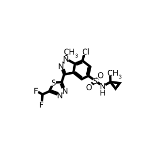 Cn1nc(-c2nnc(C(F)F)s2)c2cc(S(=O)(=O)NC3(C)CC3)cc(Cl)c21